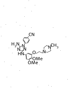 COc1cc(Nc2nc(N)n(-c3ccc(C#N)cc3)n2)cc(OCCCN2CCN(C)CC2)c1OC